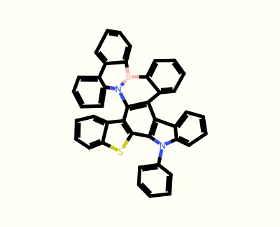 c1ccc(-n2c3ccccc3c3c4c(c5c6ccccc6sc5c32)N2B(c3ccccc3-c3ccccc32)c2ccccc2-4)cc1